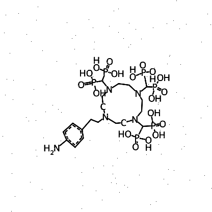 Nc1ccc(CCN2CCN(C(P(=O)(O)O)P(=O)(O)O)CCN(C(P(=O)(O)O)P(=O)(O)O)CCN(C(P(=O)(O)O)P(=O)(O)O)CC2)cc1